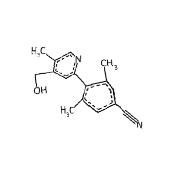 Cc1cnc(-c2c(C)cc(C#N)cc2C)cc1CO